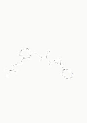 O=C(NCc1ccnc(OCC(F)(F)F)c1)N[C@@H]1C[C@H]1c1ccccc1